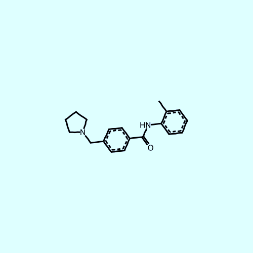 Cc1ccccc1NC(=O)c1ccc(CN2CCCC2)cc1